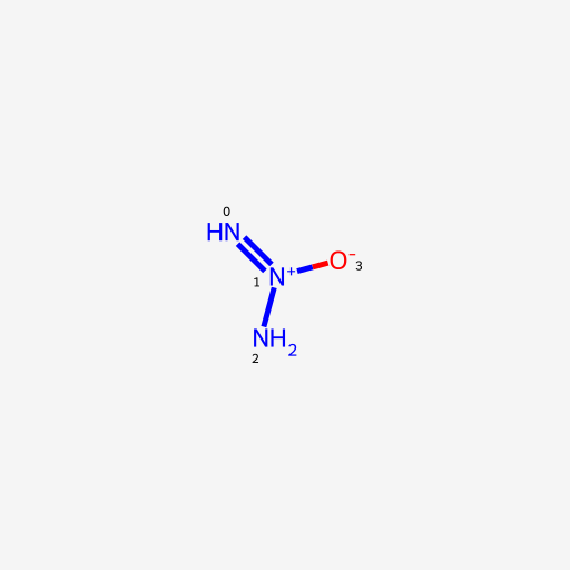 N=[N+](N)[O-]